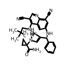 CC(C)(C)CNc1c(C#N)cnc2c(C#N)cc(N[C@H](C3=CN(C4(C(N)=O)CC4)NN3)c3ccccc3)cc12